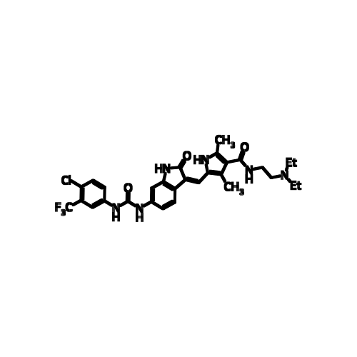 CCN(CC)CCNC(=O)c1c(C)[nH]c(/C=C2\C(=O)Nc3cc(NC(=O)Nc4ccc(Cl)c(C(F)(F)F)c4)ccc32)c1C